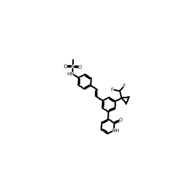 CS(=O)(=O)Nc1ccc(C=Cc2cc(-c3ccc[nH]c3=O)cc(C3(C(F)F)CC3)c2)cc1